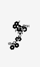 CC(C)[Si](C#Cc1c(F)ccc2cccc(-c3ncc4c(N5CCC[C@@](C)(O)C5)nc(OC[C@@]56CCCN5[C@H](CO[Si](c5ccccc5)(c5ccccc5)C(C)(C)C)CC6)nc4c3F)c12)(C(C)C)C(C)C